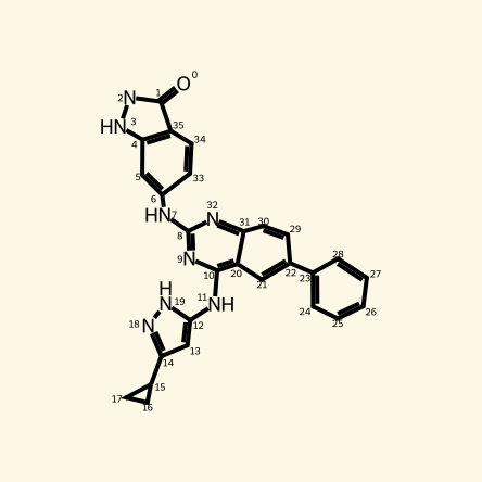 O=C1[N]Nc2cc(Nc3nc(Nc4cc(C5CC5)n[nH]4)c4cc(-c5ccccc5)ccc4n3)ccc21